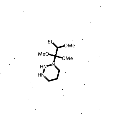 CCC(OC)C(OC)(OC)N1CCCNN1